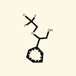 OCC(OCC(F)(F)F)c1ccccc1